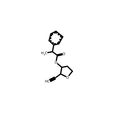 C#CC1OCCC1OC(=O)C(C)c1ccccc1